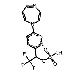 CS(=O)(=O)OC(c1ccc(N2C=CC=NC=C2)nn1)C(F)(F)F